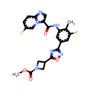 COC(=O)N1CC(c2nc(-c3cc(F)c(C)c(NC(=O)c4cnc5ccc(F)cn45)c3)no2)C1